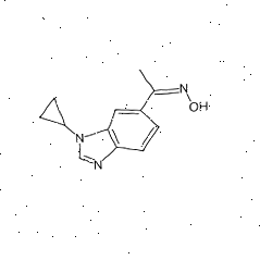 C/C(=N/O)c1ccc2ncn(C3CC3)c2c1